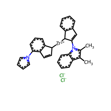 Cc1c(C)n(C2=Cc3ccccc3[CH]2[Zr+2][CH]2C=Cc3c2cccc3-n2cccc2)c2ccccc12.[Cl-].[Cl-]